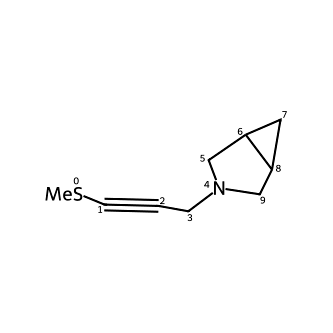 CSC#CCN1CC2CC2C1